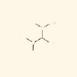 CSC(N(C)C)N(C)C